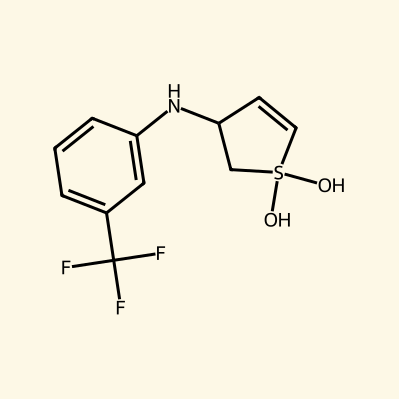 OS1(O)C=CC(Nc2cccc(C(F)(F)F)c2)C1